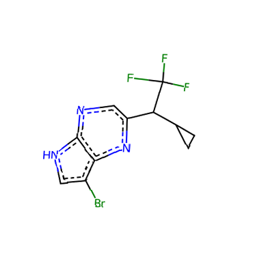 FC(F)(F)C(c1cnc2[nH]cc(Br)c2n1)C1CC1